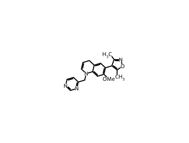 COc1cc2c(cc1-c1c(C)noc1C)CC=CN2Cc1ccncn1